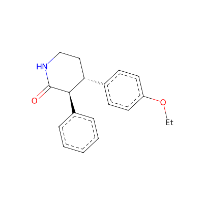 CCOc1ccc([C@H]2CCNC(=O)[C@@H]2c2ccccc2)cc1